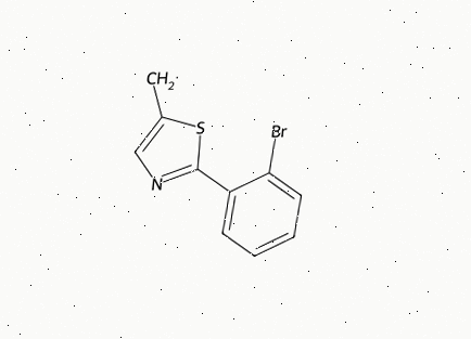 [CH2]c1cnc(-c2ccccc2Br)s1